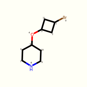 BrC1CC(OC2CCNCC2)C1